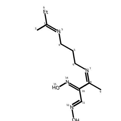 CCC(C)=NCCCN=C(C)C(C=NO)=NO